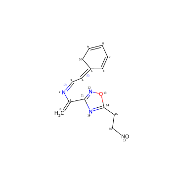 C=C(/N=C\C=C1\C=CC=CC1)c1noc(CCN=O)n1